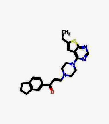 CCc1cc2c(N3CCN(C=CC(=O)c4ccc5c(c4)CCC5)CC3)ncnc2s1